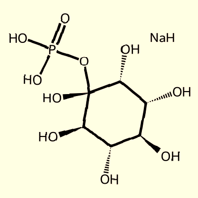 O=P(O)(O)O[C@]1(O)[C@H](O)[C@H](O)[C@@H](O)[C@H](O)[C@H]1O.[NaH]